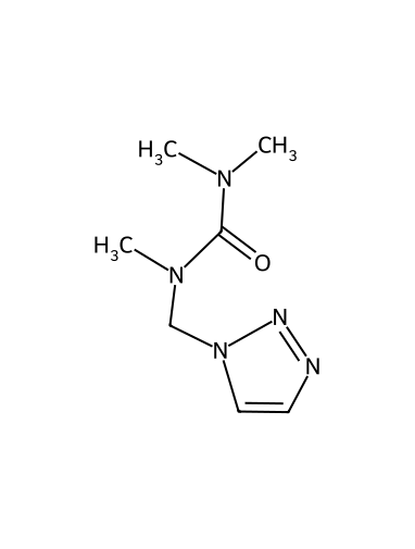 CN(C)C(=O)N(C)Cn1ccnn1